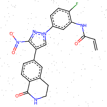 C=CC(=O)Nc1cc(-n2cc(-c3ccc4c(c3)CCNC4=O)c([N+](=O)[O-])n2)ccc1F